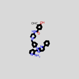 Nc1ncccc1-c1nc2ccc(-c3ccccc3)nc2n1-c1ccc(CN2CCC(NC(=O)c3ccc(O)c(C=O)c3)CC2)cc1